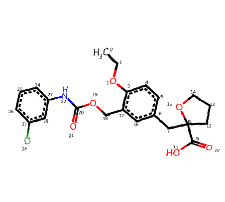 CCOc1ccc(CC2(C(=O)O)CCCO2)cc1COC(=O)Nc1cccc(Cl)c1